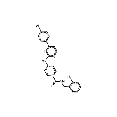 O=C(NCc1ccccc1Cl)c1ccc(Nc2nccc(-c3ccc(Cl)cc3)n2)cc1